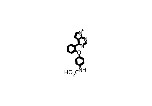 Cn1ccc2c(-c3ccccc3Oc3ccc(NC(=O)O)cc3)ncnc21